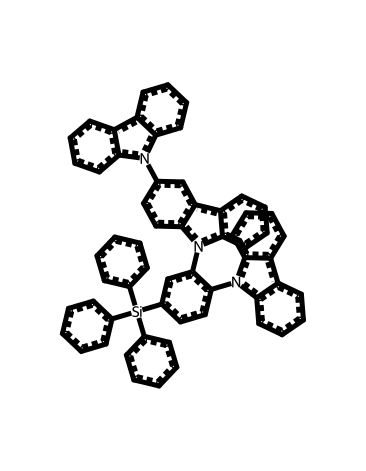 c1ccc([Si](c2ccccc2)(c2ccccc2)c2ccc(-n3c4ccccc4c4ccccc43)c(-n3c4ccccc4c4cc(-n5c6ccccc6c6ccccc65)ccc43)c2)cc1